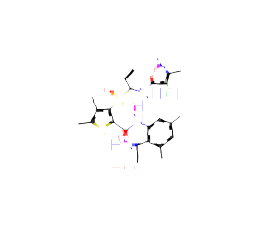 C=CC(Nc1onc(C)c1Cl)S(=O)(=O)c1c(C(=O)Nc2cc(C)cc(C)c2C(=N)CO)sc(C)c1C